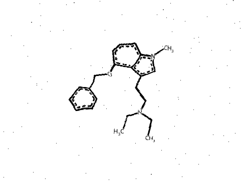 CCN(CC)CCc1cn(C)c2cccc(OCc3ccccc3)c12